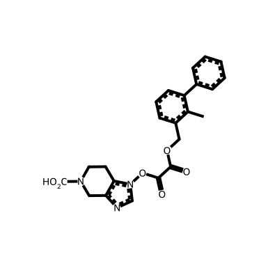 Cc1c(COC(=O)C(=O)On2cnc3c2CCN(C(=O)O)C3)cccc1-c1ccccc1